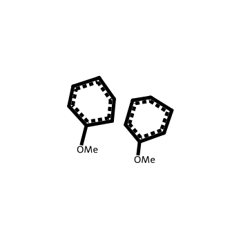 COc1ccccc1.COc1ccccc1